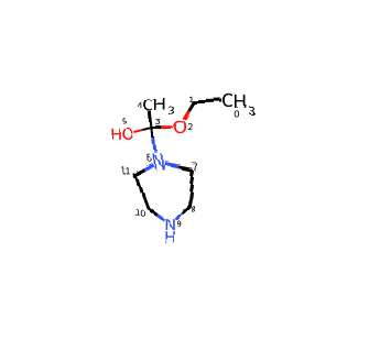 CCOC(C)(O)N1CCNCC1